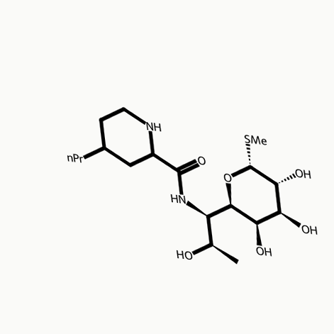 CCCC1CCNC(C(=O)N[C@@H]([C@H]2O[C@H](SC)[C@H](O)[C@@H](O)[C@H]2O)[C@@H](C)O)C1